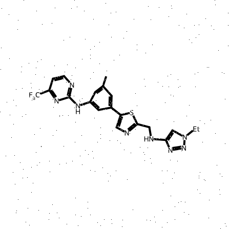 CCn1cc(NCc2ncc(-c3cc(C)cc(Nc4nccc(C(F)(F)F)n4)c3)s2)nn1